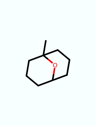 CC12CCCC(CCC1)O2